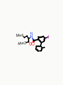 COC(=O)C(CCSC)NC(=O)c1ccc(I)cc1-c1ccccc1C